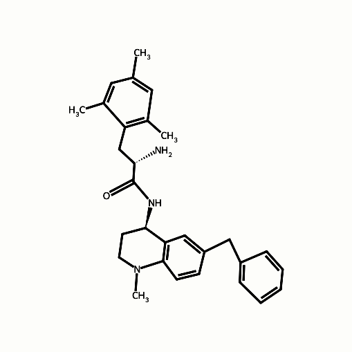 Cc1cc(C)c(C[C@H](N)C(=O)N[C@@H]2CCN(C)c3ccc(Cc4ccccc4)cc32)c(C)c1